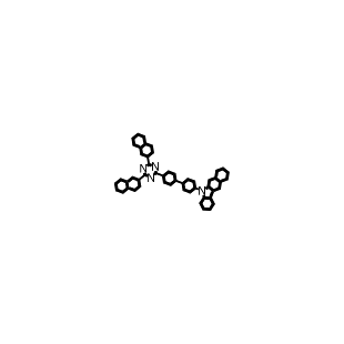 c1ccc2cc(-c3nc(-c4ccc(-c5ccc(-n6c7ccccc7c7cc8ccccc8cc76)cc5)cc4)nc(-c4ccc5ccccc5c4)n3)ccc2c1